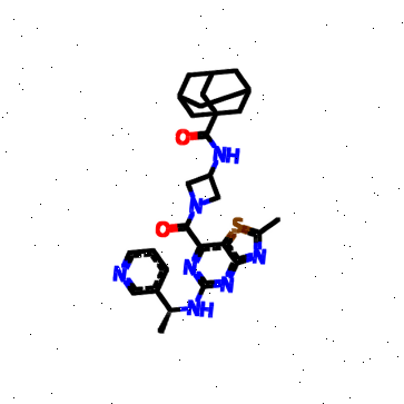 Cc1nc2nc(N[C@@H](C)c3cccnc3)nc(C(=O)N3CC(NC(=O)C45CC6CC(CC(C6)C4)C5)C3)c2s1